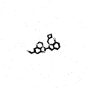 O=Cc1cc2c3c(c1)nc(-c1cc4cccc(Cl)c4n1CC1CCC1)n3CCO2